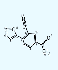 CC(=O)c1ccc(-c2ccco2)c(C#N)c1